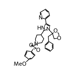 COc1ccc(S(=O)(=O)N2CCC(C3NC(c4ccccn4)=CN3C3(Cc4ccccc4)COCO3)CC2)cc1